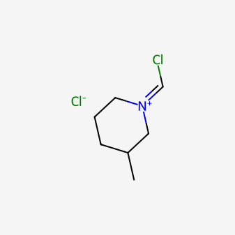 CC1CCC/[N+](=C\Cl)C1.[Cl-]